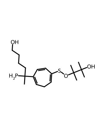 CC(P)(CCCCO)C1=CCC=C(SOC(C)(C)C(C)(C)O)C=C1